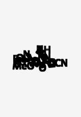 COc1cc2c(=O)c3c4ccc(C#N)cc4[nH]c3n(C3CN(C)C3)c2cc1-c1cncc(OS(=O)(=O)F)c1